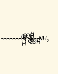 CCCCCCCCCCCCCCCC(=O)N[C@@H](CCC(=O)N[C@@H](CCCCN)C(=O)O)C(=O)O